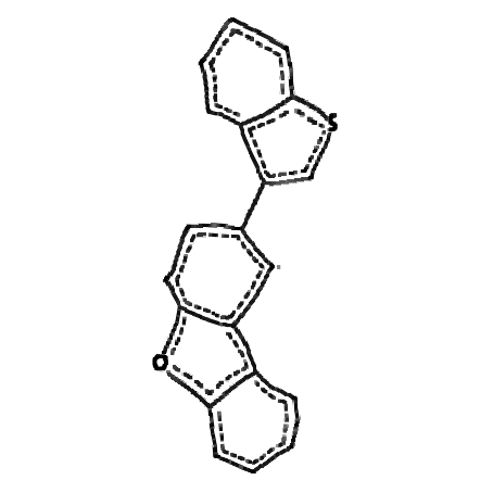 [c]1c(-c2csc3ccccc23)ccc2oc3ccccc3c12